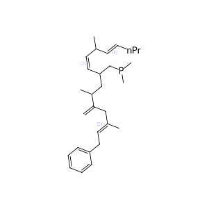 C=C(C/C(C)=C/Cc1ccccc1)C(C)CC(/C=C\C(C)/C=C/CCC)CP(C)C